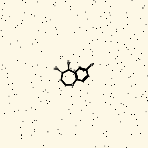 O[C@H]1CCOc2ccc(Cl)cc2[C@@H]1Br